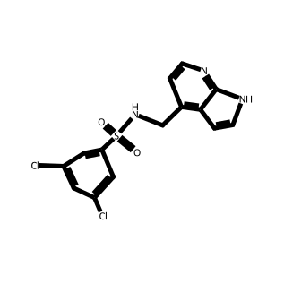 O=S(=O)(NCc1ccnc2[nH]ccc12)c1cc(Cl)cc(Cl)c1